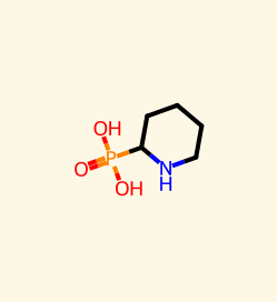 O=P(O)(O)C1CCCCN1